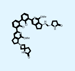 COc1nc(-c2cccc(-c3cccc(-c4cc5c(c(OC)n4)[C@@H](N4CC6(CCC(=O)N6)C4)CC5)c3Cl)c2Cl)cc2c1[C@H](NC[C@@H]1CCC(=O)N1)CC2